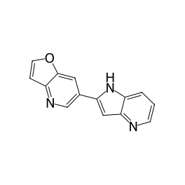 c1cnc2cc(-c3cnc4ccoc4c3)[nH]c2c1